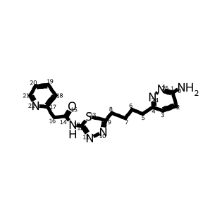 Nc1ccc(CCCCc2nnc(NC(=O)Cc3ccccn3)s2)nn1